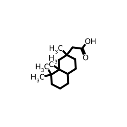 CC1(CC(=O)O)CCC2CCCC(C)(C)C2(C)C1